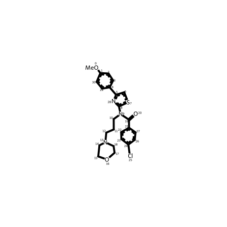 COc1ccc(-c2csc(N(CCCN3CCOCC3)C(=O)c3ccc(Cl)cc3)n2)cc1